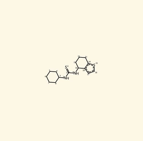 S=C(NC1CCCCC1)NC1CCCc2sccc21